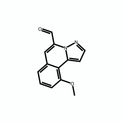 COc1cccc2cc(C=O)n3nccc3c12